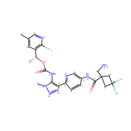 Cc1cnc(F)c([C@@H](C)OC(=O)Nc2c(-c3ccc(NC(=O)C4(CN)CC(F)(F)C4)cn3)nnn2C)c1